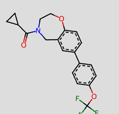 O=C(C1CC1)N1CCOc2ccc(-c3ccc(OC(F)(F)F)cc3)cc2C1